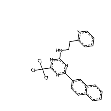 ClC(Cl)(Cl)c1nc(NCCc2ccccn2)nc(-c2ccc3ccccc3c2)n1